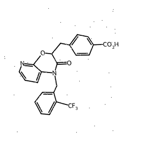 O=C(O)c1ccc(CC2Oc3ncccc3N(Cc3ccccc3C(F)(F)F)C2=O)cc1